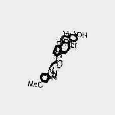 CC[C@]12CC[C@@](C)(O)C[C@H]1CC[C@H]1[C@@H]3CC[C@H](C(=O)Cn4nnc5cc(OC)ccc54)[C@@]3(C)CC[C@@H]12